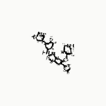 CN1CC(c2cc(Nc3ncc4cc(-c5nccs5)c(OC5CCNCC5)cc4n3)ccc2F)C=N1